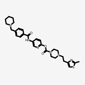 Cc1nc(CCN2CCN(C(=O)Oc3ccc(NC(=O)c4ccc(CN5CCCCC5)cc4)cn3)CC2)cs1